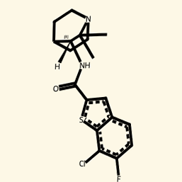 CC1(C)[C@H](NC(=O)c2cc3ccc(F)c(Cl)c3s2)C2CCN1CC2